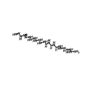 N=NNNNNNNNNNNNNNNNNNNNNNN